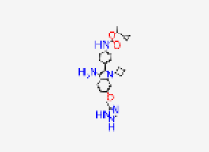 CC(OC(=O)Nc1ccc(-c2c(N)c3ccc(OCC4=NCNN4)cc3n2C2CCC2)cc1)C1CC1